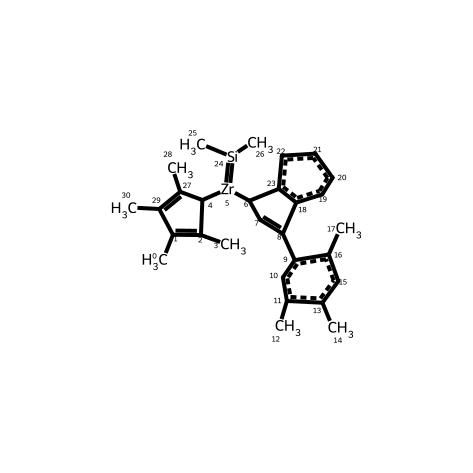 CC1=C(C)[CH]([Zr]([CH]2C=C(c3cc(C)c(C)cc3C)c3ccccc32)=[Si](C)C)C(C)=C1C